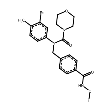 CCc1cc(N(Cc2ccc(C(=O)NOI)cc2)C(=O)N2CCOCC2)ccc1C